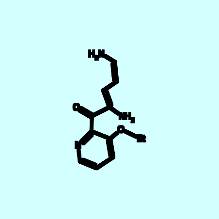 CCOc1cccnc1C(=O)/C(N)=C/C=C\N